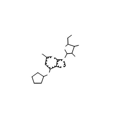 OCC1OC(n2cnc3c(NC4CCCC4)cc(Cl)nc32)C(O)C1O